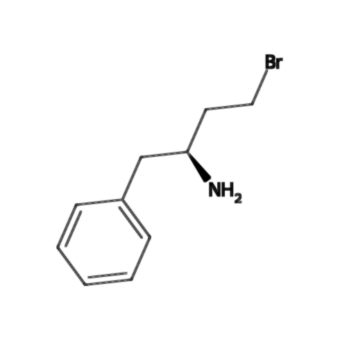 N[C@H](CCBr)Cc1ccccc1